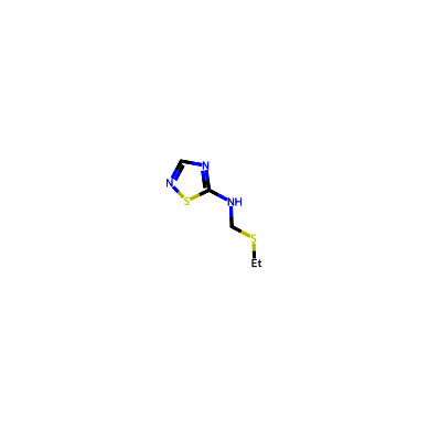 CCSCNc1ncns1